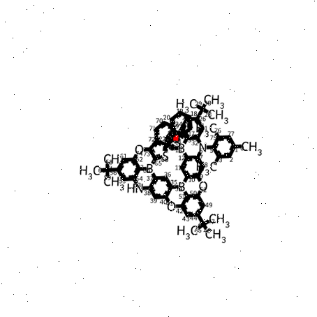 Cc1cc(C)c(N2c3cc4c(cc3B3c5sc6ccccc6c5Oc5cc(C(C)(C)C)cc2c53)B2c3cc5c(cc3Oc3cc(C(C)(C)C)cc(c32)O4)Nc2cc(C(C)(C)C)cc3c2B5c2sc4ccccc4c2O3)c(C)c1